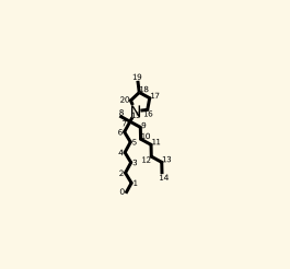 CCCCCCCC(C)(CCCCCC)N1CCC(C)C1